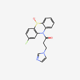 O=C(CCn1ccnc1)N1c2ccccc2[S+]([O-])c2ccc(F)cc21